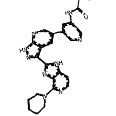 CC(C)(C)CC(=O)Nc1cncc(-c2cnc3[nH]nc(-c4nc5c(N6CCCCC6)nccc5[nH]4)c3c2)c1